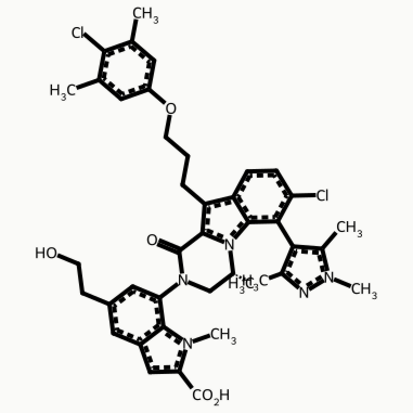 Cc1cc(OCCCc2c3n(c4c(-c5c(C)nn(C)c5C)c(Cl)ccc24)[C@H](C)CN(c2cc(CCO)cc4cc(C(=O)O)n(C)c24)C3=O)cc(C)c1Cl